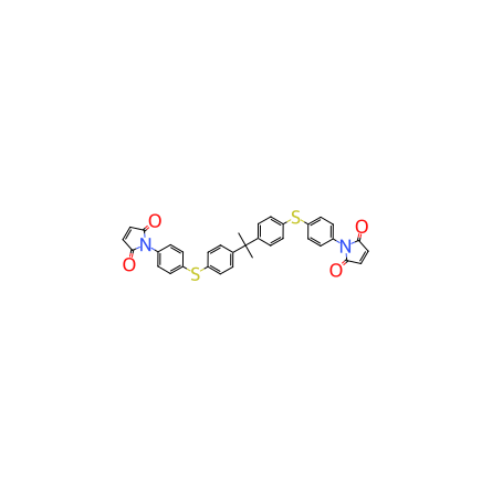 CC(C)(c1ccc(Sc2ccc(N3C(=O)C=CC3=O)cc2)cc1)c1ccc(Sc2ccc(N3C(=O)C=CC3=O)cc2)cc1